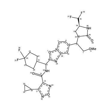 COCC(c1ccc2oc(C(NC(=O)c3nonc3C3CC3)C3CCC(F)(F)CC3)nc2c1)N1C[C@@H](C(F)F)NC1=O